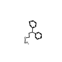 NOCCC(c1ccccc1)c1ccccc1